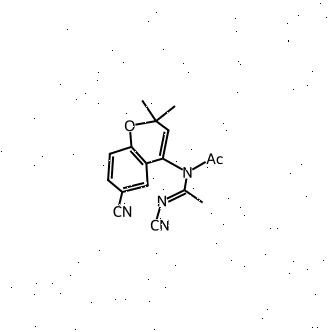 CC(=O)N(C1=CC(C)(C)Oc2ccc(C#N)cc21)C(C)=NC#N